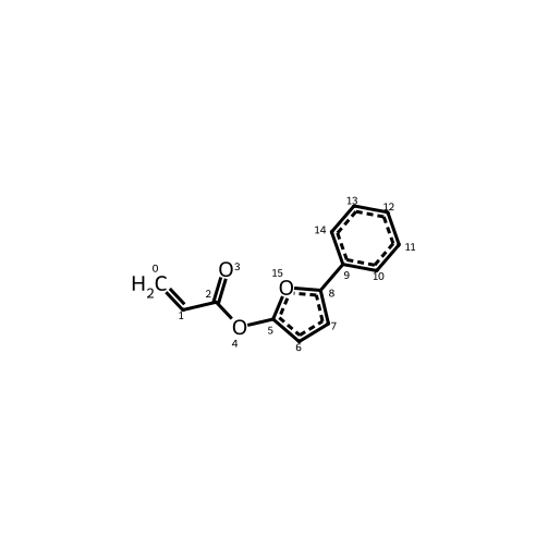 C=CC(=O)Oc1ccc(-c2ccccc2)o1